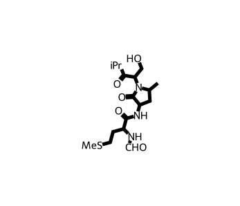 CSCCC(NC=O)C(=O)NC1CC(C)N(C(CO)C(=O)C(C)C)C1=O